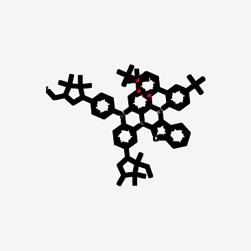 CCC1(C)C(c2ccc3c(c2)B2c4oc5ccccc5c4N(c4ccc(C(C)(C)C)cc4-c4ccc(C(C)(C)C)cc4)c4cc(C(C)(C)C)cc(c42)N3c2ccc(C3CC(CI)C(C)(C)C3(C)C)cc2)CC(C)C1(C)C